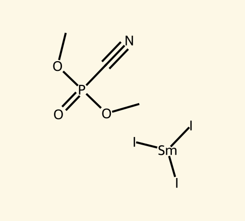 COP(=O)(C#N)OC.[I][Sm]([I])[I]